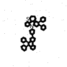 c1ccc(-c2ccc(N(c3ccc(-c4ccc5c(c4)c(-c4ccccc4)c(-c4ccccc4)c4ccccc45)cc3)c3cccc4sc5ccccc5c34)cc2-c2ccccc2)cc1